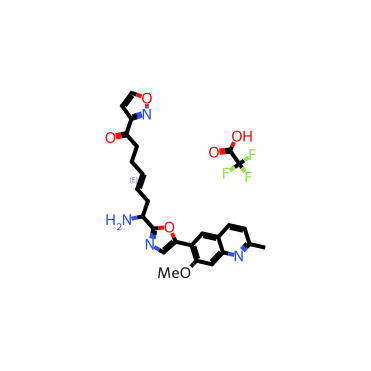 COc1cc2nc(C)ccc2cc1-c1cnc(C(N)C/C=C/CCC(=O)c2ccon2)o1.O=C(O)C(F)(F)F